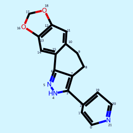 c1cc(-c2[nH]nc3c2CCc2cc4c(cc2-3)OCO4)ccn1